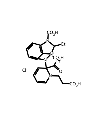 CCC1N(C(=O)O)c2ccc3cc2[N+]1(C(=O)O)N3C1(C(=O)C(C)C)C=CC=CN1CCC(=O)O.[Cl-]